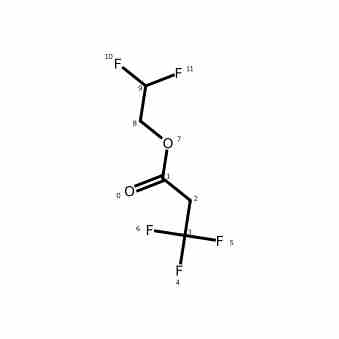 O=C(CC(F)(F)F)OCC(F)F